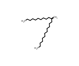 C=C(CCCCCCCCCC)CCCCCCCCCCCC